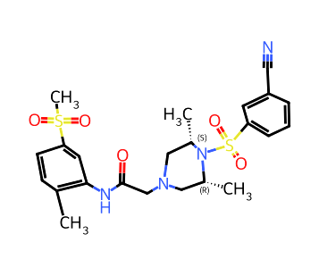 Cc1ccc(S(C)(=O)=O)cc1NC(=O)CN1C[C@@H](C)N(S(=O)(=O)c2cccc(C#N)c2)[C@@H](C)C1